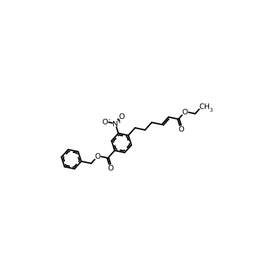 CCOC(=O)C=CCCCc1ccc(C(=O)OCc2ccccc2)cc1[N+](=O)[O-]